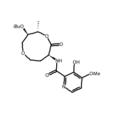 COc1ccnc(C(=O)N[C@H]2CCOC[C@@H](OCC(C)C)[C@H](C)OC2=O)c1O